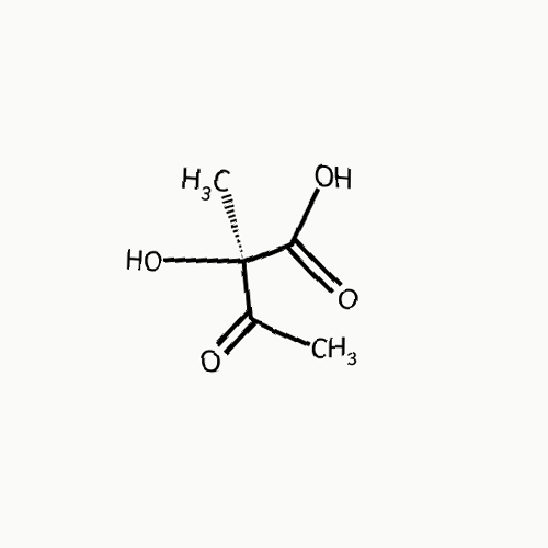 CC(=O)[C@@](C)(O)C(=O)O